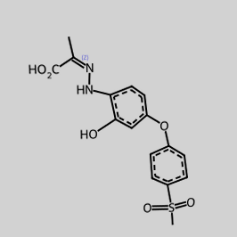 C/C(=N/Nc1ccc(Oc2ccc(S(C)(=O)=O)cc2)cc1O)C(=O)O